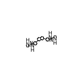 c1cc2ccc(-c3ccc4nc(C5CCCN5)[nH]c4c3)cc2cc1-c1ccc2[nH]c([C@@H]3CCCN3)nc2c1